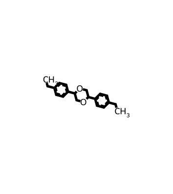 CCc1ccc(C2COC(c3ccc(CC)cc3)CO2)cc1